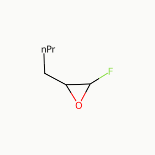 CCCCC1OC1F